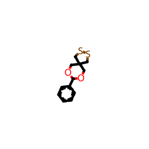 c1ccc(C2OCC3(CO2)CSSC3)cc1